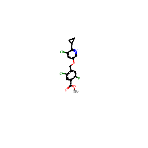 CC(C)(C)OC(=O)c1cc(Cl)c(COc2cnc(C3CC3)c(Cl)c2)cc1F